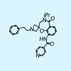 CC(C)N1CC2(CN(CCc3ccccc3)C2)Oc2c(NC(=O)c3ccncc3)cccc2C1=O